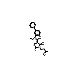 CCN1/C(=C2\SC(=S)N(CCC(C)=O)C2=O)Oc2ccc(-c3ccccc3)cc21